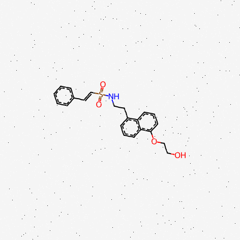 O=S(=O)(C=Cc1ccccc1)NCCc1cccc2c(OCCO)cccc12